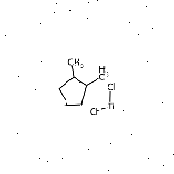 CC1C[CH]CC1C.[Cl][Ti][Cl]